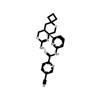 N#Cc1ccc(C(=O)Nc2cc#cc([C@]34COC5(CCC5)CC3COC(N)=N4)n2)nc1